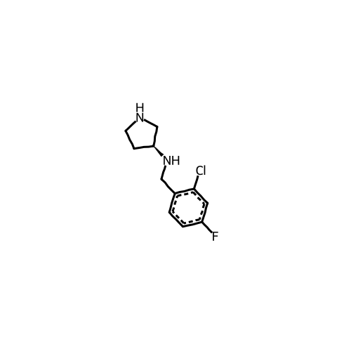 Fc1ccc(CN[C@H]2CCNC2)c(Cl)c1